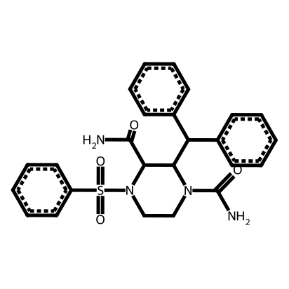 NC(=O)C1C(C(c2ccccc2)c2ccccc2)N(C(N)=O)CCN1S(=O)(=O)c1ccccc1